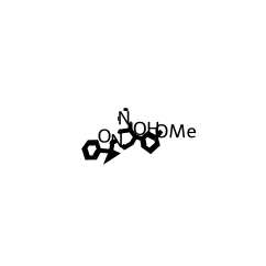 COc1cccc(C2(O)CCN(C(=O)C3(c4ccccc4)CC3)CC2CN(C)C)c1